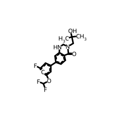 CC(C)(O)CN1CNc2cc(-c3cc(F)cc(OC(F)F)c3)ccc2C1=O